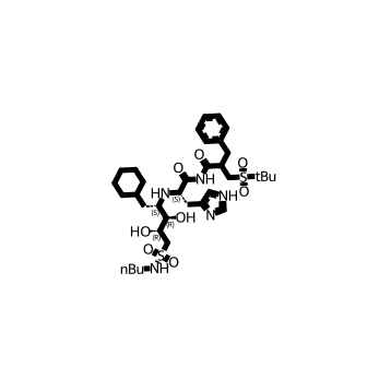 CCCCNS(=O)(=O)C[C@H](O)[C@H](O)[C@H](CC1CCCCC1)N[C@@H](Cc1c[nH]cn1)C(=O)NC(=O)C(Cc1ccccc1)CS(=O)(=O)C(C)(C)C